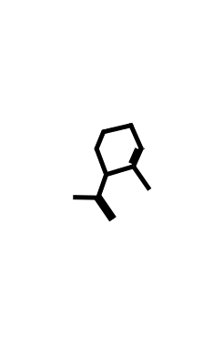 C=C(C)C1CCC[C]=C1C